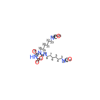 O=C=NCCCCCCN=c1oc(=O)[nH]c(=O)n1CCCCCCN=C=O